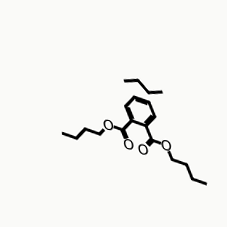 CCCC.CCCCOC(=O)c1ccccc1C(=O)OCCCC